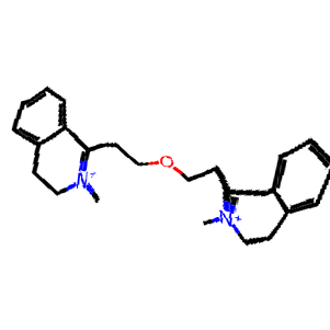 C[N+]1=C(CCOCCC2=[N+](C)CCc3ccccc32)c2ccccc2CC1